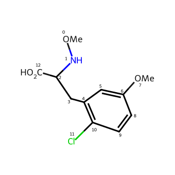 CONC(Cc1cc(OC)ccc1Cl)C(=O)O